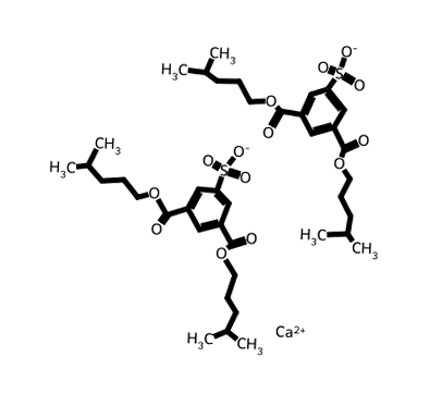 CC(C)CCCOC(=O)c1cc(C(=O)OCCCC(C)C)cc(S(=O)(=O)[O-])c1.CC(C)CCCOC(=O)c1cc(C(=O)OCCCC(C)C)cc(S(=O)(=O)[O-])c1.[Ca+2]